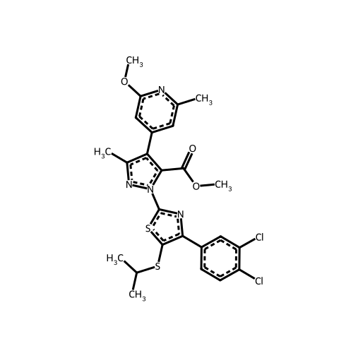 COC(=O)c1c(-c2cc(C)nc(OC)c2)c(C)nn1-c1nc(-c2ccc(Cl)c(Cl)c2)c(SC(C)C)s1